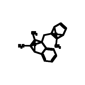 CC1=C(CC23OC(C(C)=C2C)c2ccccc23)C2C=CC1O2